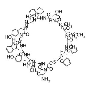 CCCC[C@H]1C(=O)N(C)CC(=O)N[C@@H](CC(=O)O)C(=O)N[C@@H](C2CCCCC2)C(=O)N(C)[C@@H](Cc2ccccc2)C(=O)N[C@H]2Cc3ccc(O)cc3N(CC(=O)N[C@@H](Cc3c[nH]c4ccccc34)C(=O)N[C@@H](Cc3ccc(O)cc3)C(=O)N[C@@H](CC(C)C)C(=O)N[C@H](C(=O)NCC(N)=O)CSCC(=O)N[C@@H](Cc3ccccc3)C(=O)N(C)[C@@H](Cc3ccccc3)C(=O)N1C)C2=O